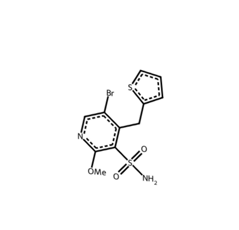 COc1ncc(Br)c(Cc2cccs2)c1S(N)(=O)=O